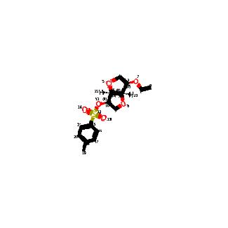 CCO[C@@H]1CO[C@H]2[C@@H]1OC[C@H]2OS(=O)(=O)c1ccc(C)cc1